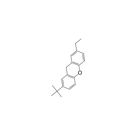 CCc1ccc2c(c1)Cc1cc(C(C)(C)C)ccc1O2